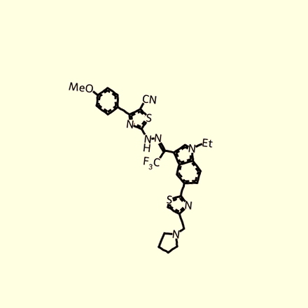 CCn1cc(/C(=N/Nc2nc(-c3ccc(OC)cc3)c(C#N)s2)C(F)(F)F)c2cc(-c3nc(CN4CCCC4)cs3)ccc21